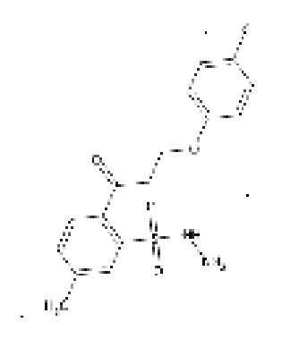 Cc1ccc(C(=O)CCOc2ccc(Cl)cc2)c(S(=O)(=O)NN)c1